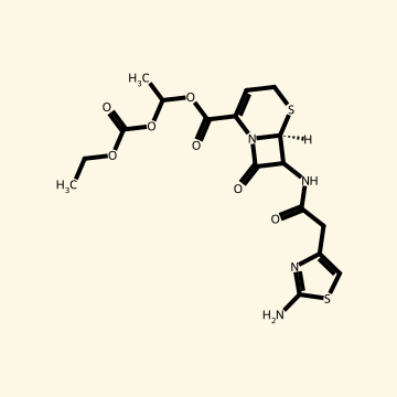 CCOC(=O)OC(C)OC(=O)C1=CCS[C@H]2C(NC(=O)Cc3csc(N)n3)C(=O)N12